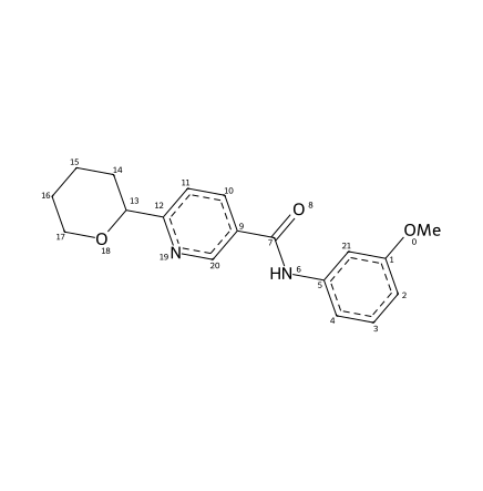 COc1cccc(NC(=O)c2ccc(C3CCCCO3)nc2)c1